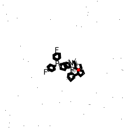 C[C@H]([C@@H]1CCCC1[P@@](c1ccccc1C1CCCC1)C1CCCC1)N(C)C[C@@H]1CC[C@H](P(c2ccc(F)cc2)c2ccc(F)cc2)C1